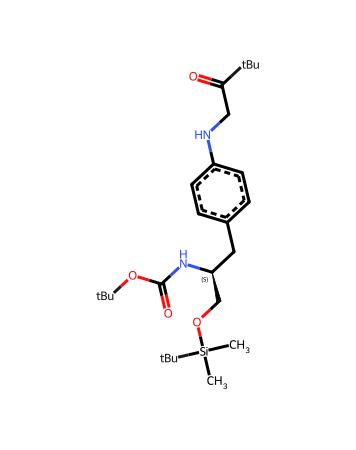 CC(C)(C)OC(=O)N[C@H](CO[Si](C)(C)C(C)(C)C)Cc1ccc(NCC(=O)C(C)(C)C)cc1